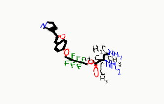 CC(C)(N)CC(N)C(C)(C)C(=O)OCC(F)(F)C(F)(F)C(F)(F)COc1ccc2cc(-c3cccnc3)oc2c1